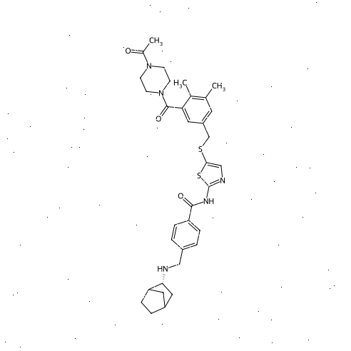 CC(=O)N1CCN(C(=O)c2cc(CSc3cnc(NC(=O)c4ccc(CN[C@@H]5CC6CCC5C6)cc4)s3)cc(C)c2C)CC1